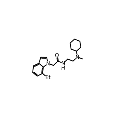 CCc1cccc2ccn(CC(=O)NCCN(C)C3CCCCC3)c12